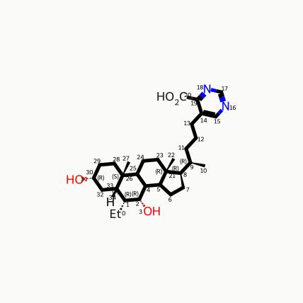 CC[C@H]1[C@@H](O)C2C3CC[C@H]([C@H](C)CCCc4cncnc4C(=O)O)[C@@]3(C)CCC2[C@@]2(C)CC[C@@H](O)C[C@@H]12